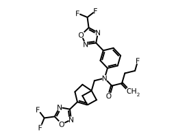 C=C(CCF)C(=O)N(CC12CCC(c3noc(C(F)F)n3)=C(C1)C2)c1cccc(-c2noc(C(F)F)n2)c1